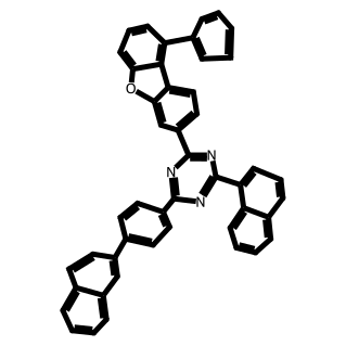 c1ccc(-c2cccc3oc4cc(-c5nc(-c6ccc(-c7ccc8ccccc8c7)cc6)nc(-c6cccc7ccccc67)n5)ccc4c23)cc1